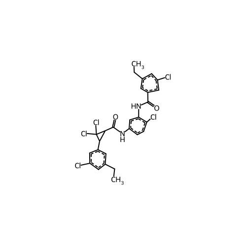 CCc1cc(Cl)cc(C(=O)Nc2cc(NC(=O)C3C(c4cc(Cl)cc(CC)c4)C3(Cl)Cl)ccc2Cl)c1